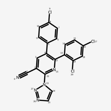 N#Cc1cc(-c2ccc(Cl)cc2)c(-c2ccc(Cl)cc2Cl)nc1-n1ccnn1